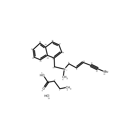 CCCC(=O)O.CN(C/C=C/C#CC(C)(C)C)Cc1cccc2ccccc12.Cl